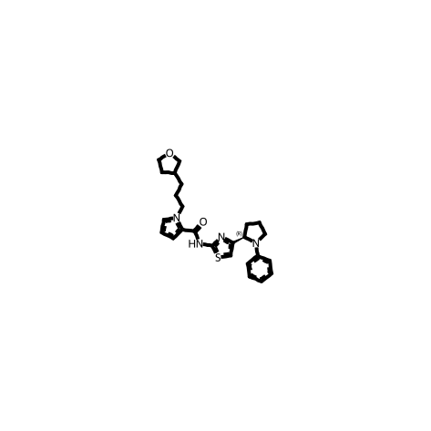 O=C(Nc1nc([C@H]2CCCN2c2ccccc2)cs1)c1cccn1CCCC1CCOC1